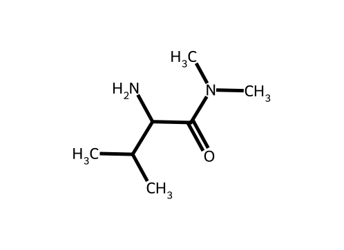 CC(C)C(N)C(=O)N(C)C